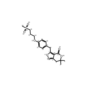 CC1(C)Cc2noc(Cc3ccc(OCCCS(C)(=O)=O)cc3)c2C(=O)O1